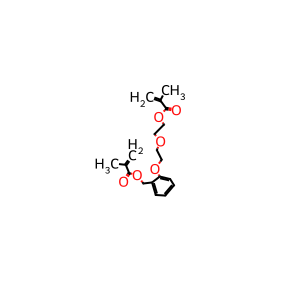 C=C(C)C(=O)OCCOCCOc1ccccc1COC(=O)C(=C)C